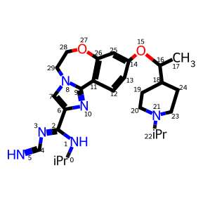 CC(C)N/C(=N\C=N)c1cn2c(n1)-c1ccc(OC(C)C3CCN(C(C)C)CC3)cc1OCC2